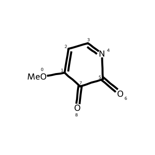 COC1=CC=NC(=O)C1=O